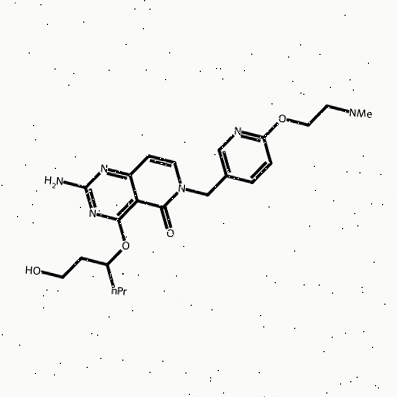 CCCC(CCO)Oc1nc(N)nc2ccn(Cc3ccc(OCCNC)nc3)c(=O)c12